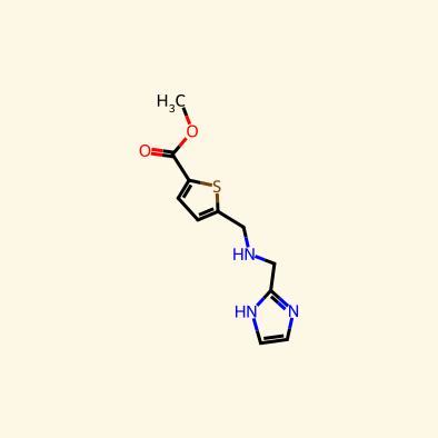 COC(=O)c1ccc(CNCc2ncc[nH]2)s1